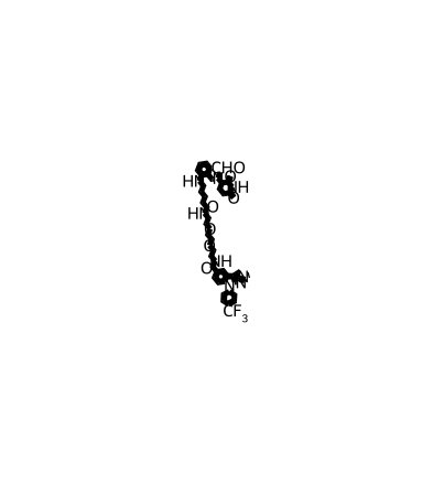 CN(Cc1c(C=O)cccc1NCCCCC(=O)NCCOCCOCCNC(=O)c1ccc2c(c1)c1cn(C)nc1n2C1C=CC(C(F)(F)F)=CC1)C1CCC(=O)NC1=O